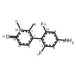 Cc1c(-c2c(F)cc(N)cc2F)ccc(=O)n1C